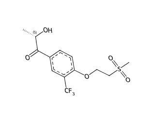 C[C@H](O)C(=O)c1ccc(OCCS(C)(=O)=O)c(C(F)(F)F)c1